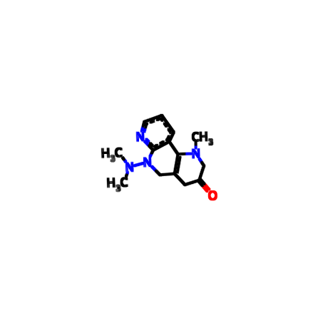 CN1CC(=O)CC2=C1c1cccnc1N(N(C)C)C2